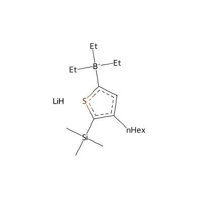 CCCCCCc1cc([B-](CC)(CC)CC)sc1[Si](C)(C)C.[LiH]